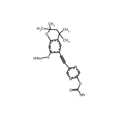 CCCCCCSc1cc2c(cc1C#Cc1cnc(OC(=O)CCC)cn1)C(C)(C)CC(C)(C)O2